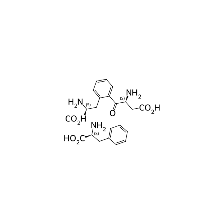 N[C@@H](Cc1ccccc1)C(=O)O.N[C@@H](Cc1ccccc1C(=O)[C@@H](N)CC(=O)O)C(=O)O